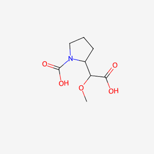 COC(C(=O)O)C1CCCN1C(=O)O